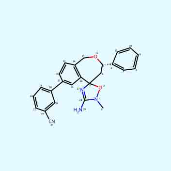 CN1OC2(C[C@@H](c3ccccc3)OCc3ccc(-c4cccc(C#N)c4)cc32)N=C1N